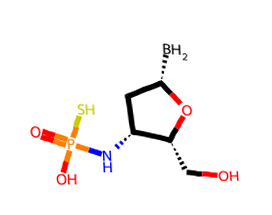 B[C@H]1C[C@@H](NP(=O)(O)S)[C@@H](CO)O1